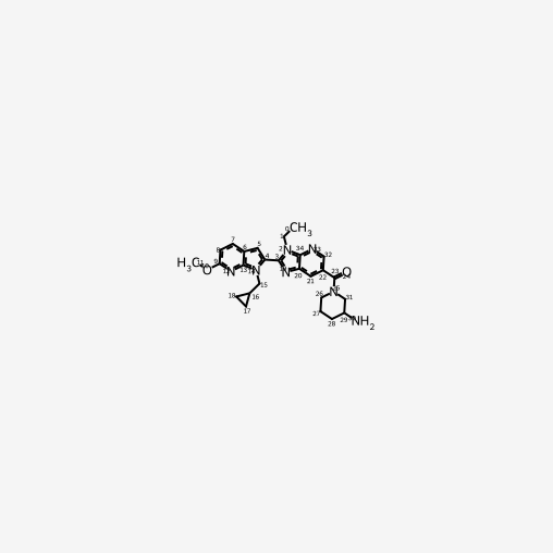 CCn1c(-c2cc3ccc(OC)nc3n2CC2CC2)nc2cc(C(=O)N3CCCC(N)C3)cnc21